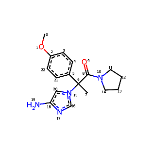 COc1ccc(C(C)(C(=O)N2CCCC2)n2cnc(N)c2)cc1